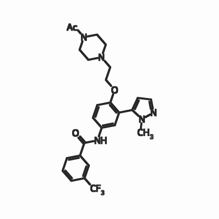 CC(=O)N1CCN(CCOc2ccc(NC(=O)c3cccc(C(F)(F)F)c3)cc2-c2ccnn2C)CC1